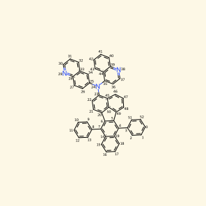 c1ccc(-c2c3c(c(-c4ccccc4)c4ccccc24)-c2ccc(N(c4ccc5ncccc5c4)c4ccnc5ccccc45)c4cccc-3c24)cc1